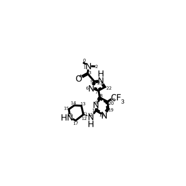 CN(C)C(=O)c1nc(-c2nc(N[C@H]3CCCNC3)ncc2C(F)(F)F)c[nH]1